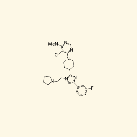 CNc1ncnc(N2CCC(c3nc(-c4cccc(F)c4)cn3CCN3CCCC3)CC2)c1Cl